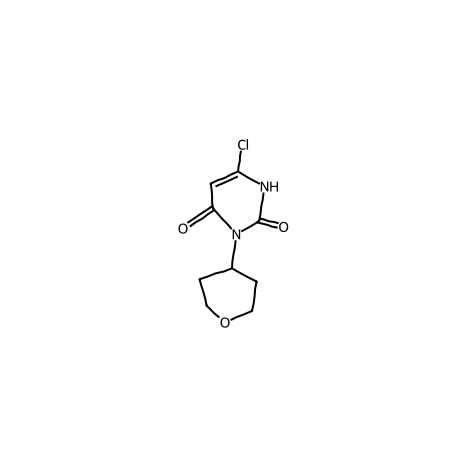 O=c1cc(Cl)[nH]c(=O)n1C1CCOCC1